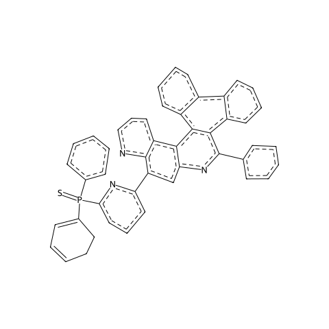 S=P(C1=CC=CCC1)(c1ccccc1)c1cccc(-c2cc3nc(-c4ccccc4)c4c5ccccc5c5ccccc5c4c3c3cccnc23)n1